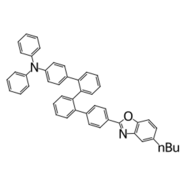 CCCCc1ccc2oc(-c3ccc(-c4ccccc4-c4ccccc4-c4ccc(N(c5ccccc5)c5ccccc5)cc4)cc3)nc2c1